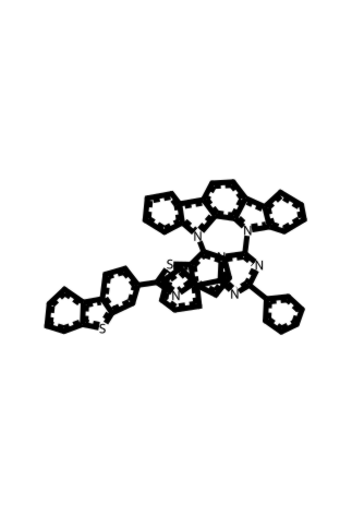 c1ccc(-c2nc(-c3ccccc3)nc(-n3c4ccccc4c4ccc5c6ccccc6n(-c6cccc7nc(-c8ccc9c(c8)sc8ccccc89)sc67)c5c43)n2)cc1